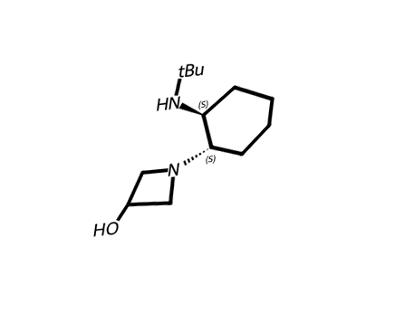 CC(C)(C)N[C@H]1CCCC[C@@H]1N1CC(O)C1